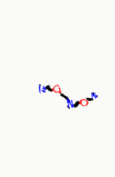 CN(C)CCOCCN(C)CCOCCN(C)C